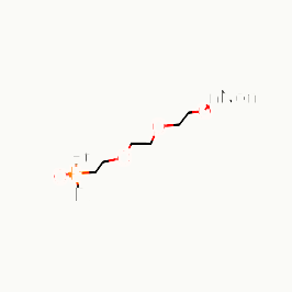 CCCCCCCCCOCCOCCOCCP(=O)(CC)CC